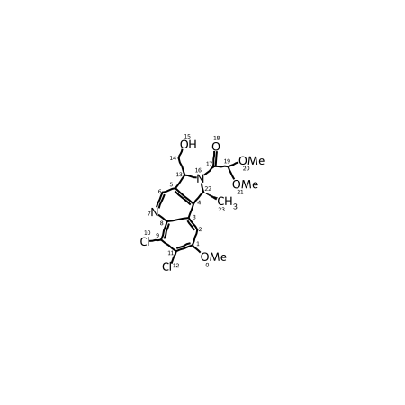 COc1cc2c3c(cnc2c(Cl)c1Cl)C(CO)N(C(=O)C(OC)OC)[C@H]3C